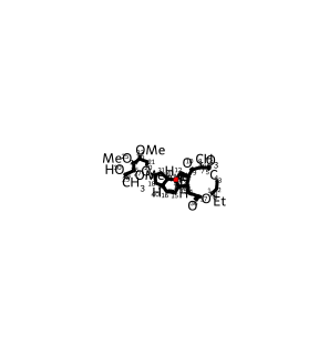 CC[C@H]1CCCC(=O)[C@@H](C)C(=O)C2=C[C@@H]3[C@@H](C=C[C@@H]4C[C@@H](OCC(OC)C(OC)C(OC)C(C)O)C[C@@H]34)[C@@H]2CC(=O)O1